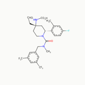 Cc1cc(F)ccc1[C@H]1C[C@@](CC=O)(NC(=O)O)CCN1C(=O)N(C)Cc1cc(C(F)(F)F)cc(C(F)(F)F)c1